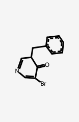 O=C1C(Br)=CN=CC1Cc1ccccc1